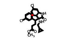 COC(=O)CCC(c1cccc(Cl)c1)[C@]1(NCC2CC2)C(=O)NC2C=C(Cl)C=CC21